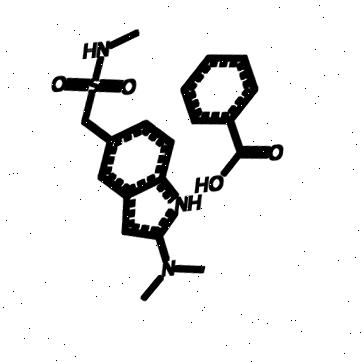 CNS(=O)(=O)Cc1ccc2[nH]c(N(C)C)cc2c1.O=C(O)c1ccccc1